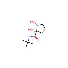 CC(C)(C)NC(=O)[C@]1(O)CCCN1O